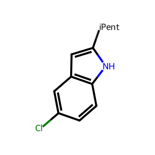 CC[CH]C(C)c1cc2cc(Cl)ccc2[nH]1